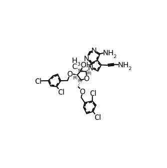 C[C@@]1(O)[C@H](OCc2ccc(Cl)cc2Cl)[C@@H](COCc2ccc(Cl)cc2Cl)O[C@H]1n1cc(C#CN)c2c(N)ncnc21